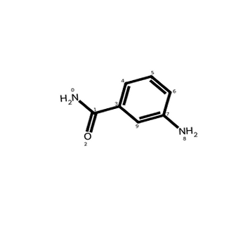 NC(=O)c1c[c]cc(N)c1